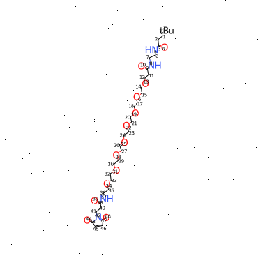 CC(C)(C)CCC(=O)NCCNC(=O)CCOCCOCCOCCOCCOCCOCCOCCOCCNC(=O)CCN1C(=O)C=CC1=O